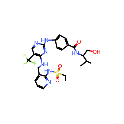 CCS(=O)(=O)Nc1ncccc1CNc1nc(Nc2ccc(C(=O)NC(CO)C(C)C)cc2)ncc1C(F)(F)F